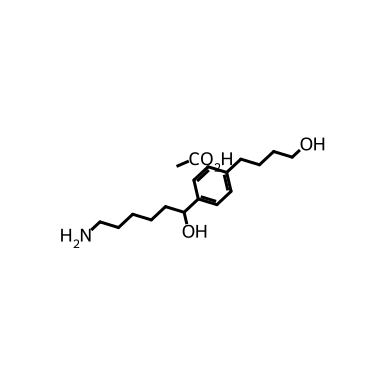 CC(=O)O.NCCCCCC(O)c1ccc(CCCCO)cc1